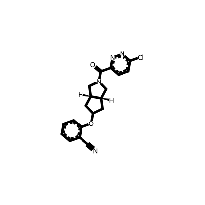 N#Cc1ccccc1OC1C[C@@H]2CN(C(=O)c3ccc(Cl)nn3)C[C@@H]2C1